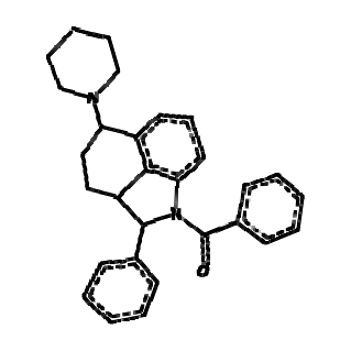 O=C(c1ccccc1)N1c2cccc3c2C(CCC3N2CCCCC2)C1c1ccccc1